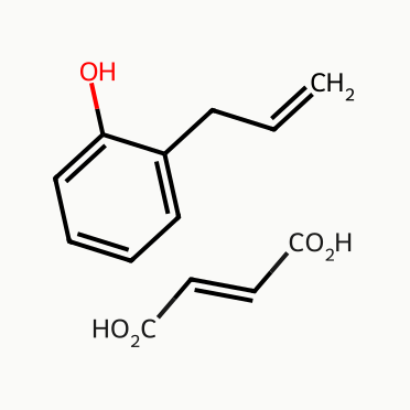 C=CCc1ccccc1O.O=C(O)C=CC(=O)O